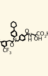 O=C(NCC(O)C(=O)O)c1ccc(CN(C(=O)Cc2cc(F)cc(C(F)(F)F)c2)c2ccc(C3CCCCC3)cc2)cc1